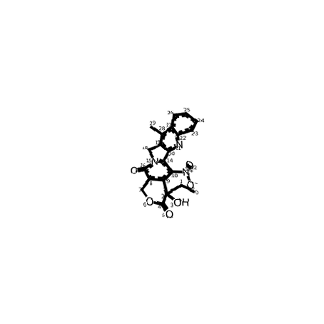 CCC1(O)C(=O)OCc2c1c([N+](=O)[O-])c1n(c2=O)Cc2c-1nc1ccccc1c2C